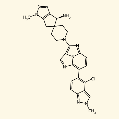 Cn1cc2c(Cl)c(-c3ccc4nc(N5CCC6(CC5)Cc5c(cnn5C)[C@H]6N)c5cnc3n45)ccc2n1